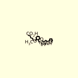 CC(CCCCC(=O)O)Oc1ccccc1CN(C(=O)c1cc(-c2ccco2)[nH]n1)C(C)C